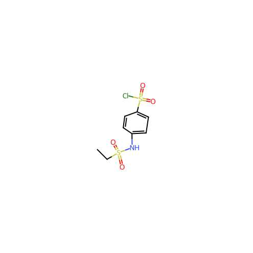 CCS(=O)(=O)Nc1ccc(S(=O)(=O)Cl)cc1